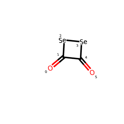 O=C1[Se][Se]C1=O